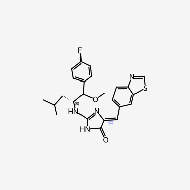 COC(c1ccc(F)cc1)[C@@H](CC(C)C)NC1=N/C(=C\c2ccc3ncsc3c2)C(=O)N1